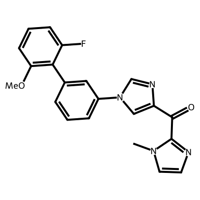 COc1cccc(F)c1-c1cccc(-n2cnc(C(=O)c3nccn3C)c2)c1